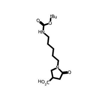 CC(C)(C)OC(=O)NCCCCCN1CC(C(=O)O)CC1=O